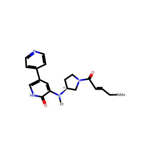 CCN(c1cc(-c2ccncc2)c[nH]c1=O)[C@H]1CCN(C(=O)C=CCNC)C1